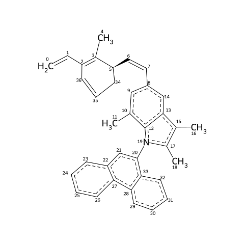 C=CC1=C(C)[C@@H](/C=C\c2cc(C)c3c(c2)c(C)c(C)n3-c2cc3ccccc3c3ccccc23)CC=C1